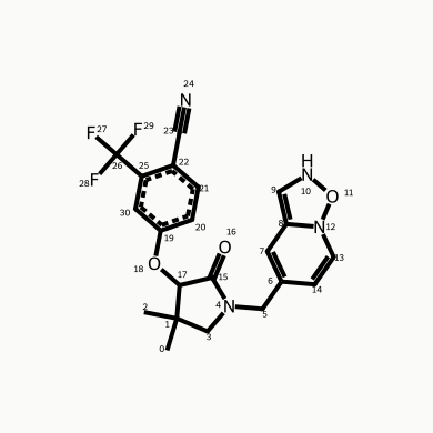 CC1(C)CN(CC2=CC3=CNON3C=C2)C(=O)C1Oc1ccc(C#N)c(C(F)(F)F)c1